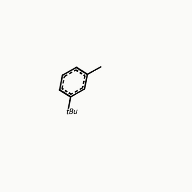 [CH2]C(C)(C)c1cccc(C)c1